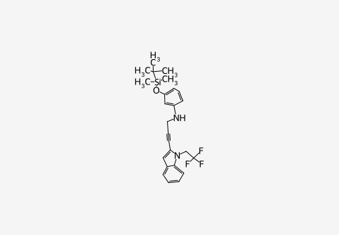 CC(C)(C)[Si](C)(C)Oc1cccc(NCC#Cc2cc3ccccc3n2CC(F)(F)F)c1